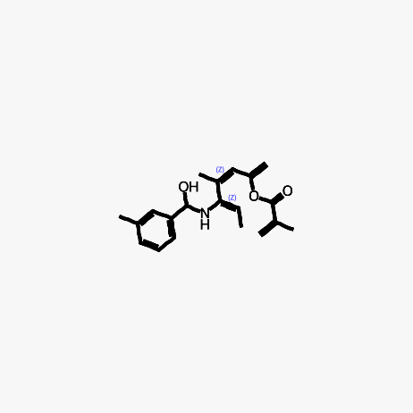 C=C(/C=C(C)\C(=C\C)NC(O)c1cccc(C)c1)OC(=O)C(=C)C